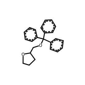 c1ccc(C(OCC2CCCO2)(c2ccccc2)c2ccccc2)cc1